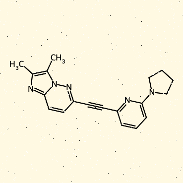 Cc1nc2ccc(C#Cc3cccc(N4CCCC4)n3)nn2c1C